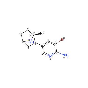 Nc1ncc(C2CC3CC[C@H]2N3)cc1Br